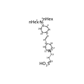 CCCCCCN(CCCCCC)c1ccc(C=Cc2cc[n+](CCCS(=O)(=O)O)cc2)cc1